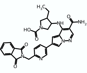 CCC1CN(C(=O)O)CC1Nc1c(C(N)=O)cnn2cc(-c3ccc(CN4C(=O)c5ccccc5C4=O)nc3)cc12